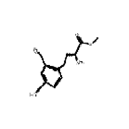 COC(=O)C(N)Cc1ccc(O)cc1Cl